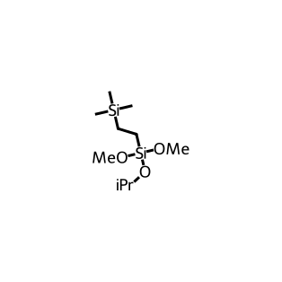 CO[Si](CC[Si](C)(C)C)(OC)OC(C)C